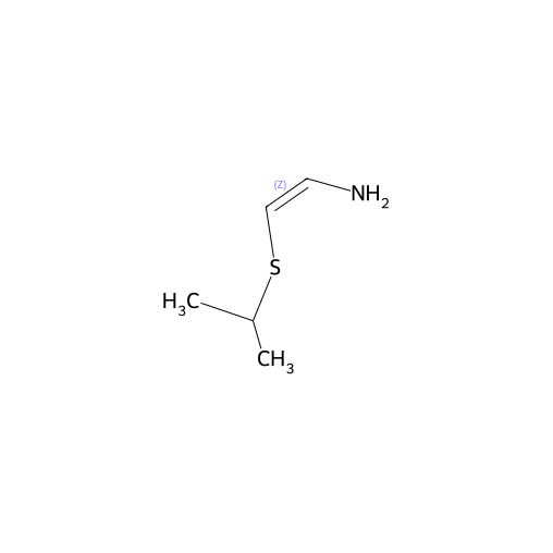 CC(C)S/C=C\N